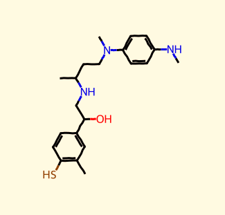 CNc1ccc(N(C)CCC(C)NCC(O)c2ccc(S)c(C)c2)cc1